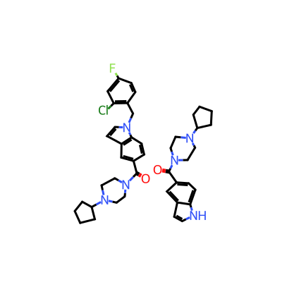 O=C(c1ccc2[nH]ccc2c1)N1CCN(C2CCCC2)CC1.O=C(c1ccc2c(ccn2Cc2ccc(F)cc2Cl)c1)N1CCN(C2CCCC2)CC1